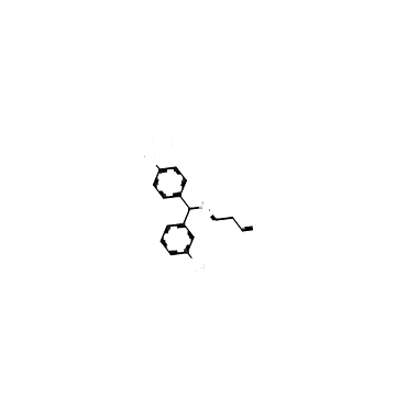 COc1ccc(C(N=CCC=S)c2cccc(Br)c2)cc1